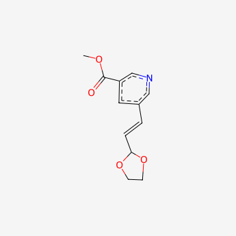 COC(=O)c1cncc(/C=C/C2OCCO2)c1